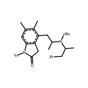 [2H]N1C(=O)Cc2c1cc(C)c(C)c2CC(C)N(CCCC)C(C)CC(C)C